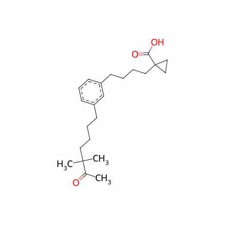 CC(=O)C(C)(C)CCCCc1cccc(CCCCC2(C(=O)O)CC2)c1